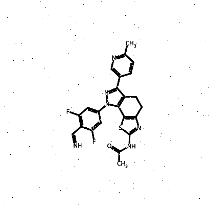 CC(=O)Nc1nc2c(s1)-c1c(c(-c3ccc(C)nc3)nn1-c1cc(F)c(C=N)c(F)c1)CC2